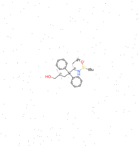 CC(C)C[C@H](N[S+]([O-])C(C)(C)C)[Si](C[C@@H](C)CO)(c1ccccc1)c1ccccc1